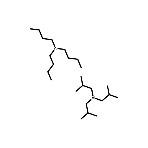 CC(C)[CH2][Al]([CH2]C(C)C)[CH2]C(C)C.CCC[CH2][Al]([CH2]CCC)[CH2]CCC